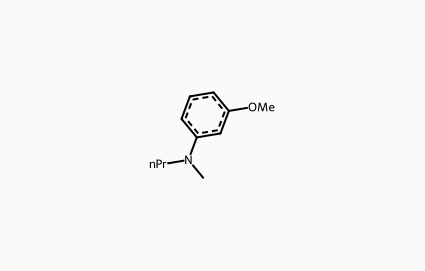 CCCN(C)c1cccc(OC)c1